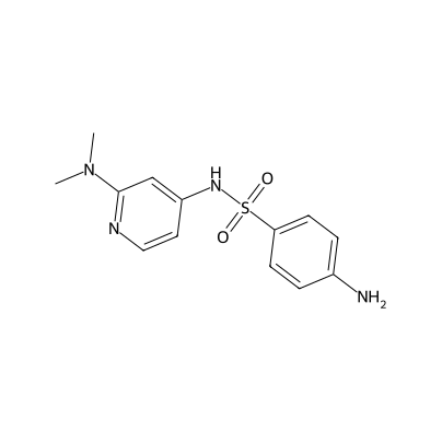 CN(C)c1cc(NS(=O)(=O)c2ccc(N)cc2)ccn1